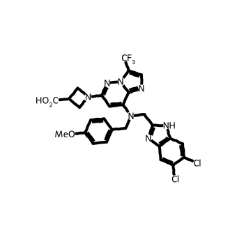 COc1ccc(CN(Cc2nc3cc(Cl)c(Cl)cc3[nH]2)c2cc(N3CC(C(=O)O)C3)nn3c(C(F)(F)F)cnc23)cc1